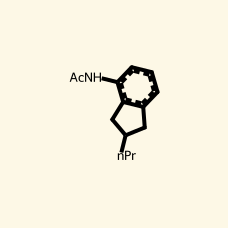 CCCC1Cc2cccc(NC(C)=O)c2C1